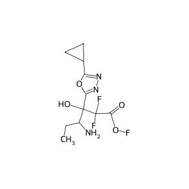 CCC(N)C(O)(c1nnc(C2CC2)o1)C(F)(F)C(=O)OF